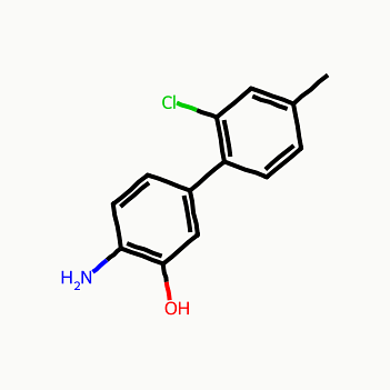 Cc1ccc(-c2ccc(N)c(O)c2)c(Cl)c1